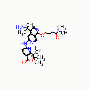 C[C@@H]1c2nc(Nc3cc4c(C(C)(C)N)cnc(OCCCC(=O)N(C)C)c4cn3)ccc2C(=O)OC1(C)C